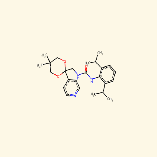 CC(C)c1cccc(C(C)C)c1NC(=O)NCC1(c2ccncc2)OCC(C)(C)CO1